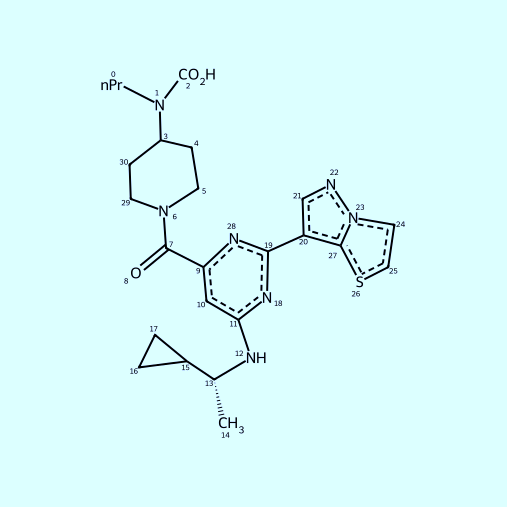 CCCN(C(=O)O)C1CCN(C(=O)c2cc(N[C@H](C)C3CC3)nc(-c3cnn4ccsc34)n2)CC1